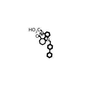 NC(=O)C1CCCCc2c1c1c(OCC(=O)O)cccc1n2Cc1ccc(-c2ccccc2)cc1